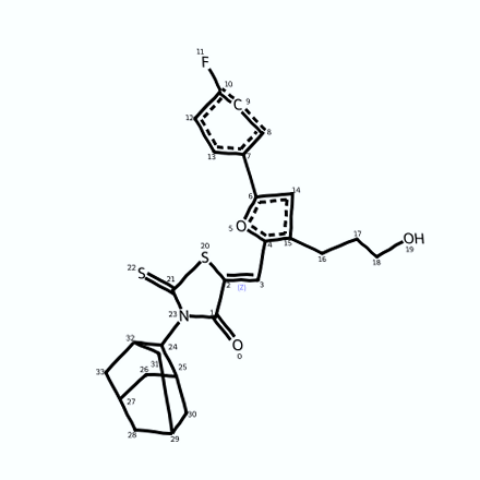 O=C1/C(=C/c2oc(-c3ccc(F)cc3)cc2CCCO)SC(=S)N1C1C2CC3CC(C2)CC1C3